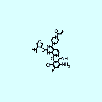 C=CC(=O)N1CCN(c2nc(O[C@@H]3COCC3N(C)C)nc3c(Oc4c(Cl)c(F)cc(N)c4C=N)nccc23)CC1